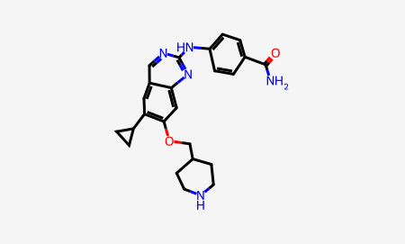 NC(=O)c1ccc(Nc2ncc3cc(C4CC4)c(OCC4CCNCC4)cc3n2)cc1